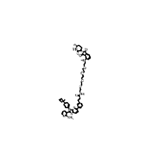 CC1(c2ccc(-n3c(-c4cccnc4N)nc4ccc(-c5cccc(CCC(=O)NCCOCCOCCOCCOCCNc6cccc7c6C(=O)N(C6CCC(=O)NC6=O)C7=O)c5)nc43)cc2)CCC1